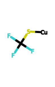 FC(F)(F)[S][Cu]